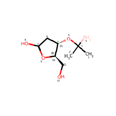 BC(C)(C)O[C@H]1CC(O)O[C@@H]1CO